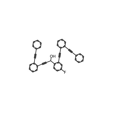 OC(C#Cc1ccccc1C#Cc1ccccc1)c1ccc(F)cc1C#Cc1ccccc1C#Cc1ccccc1